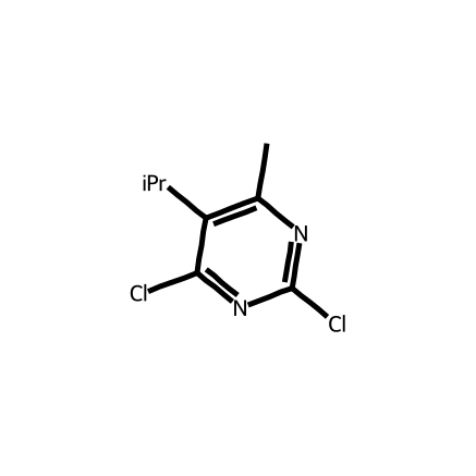 Cc1nc(Cl)nc(Cl)c1C(C)C